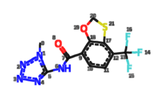 Cn1nnnc1NC(=O)c1ccc(C(F)(F)F)c2c1OCS2